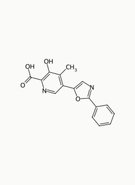 Cc1c(-c2cnc(-c3ccccc3)o2)cnc(C(=O)O)c1O